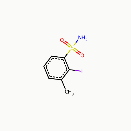 Cc1cccc(S(N)(=O)=O)c1I